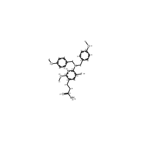 COc1ccc(CN(Cc2ccc(OC)cc2)c2nc(OC)c(CCC(N)=O)cc2F)cc1